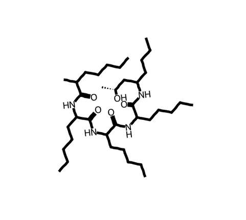 CCCCCC(C)C(=O)NC(CCCCC)C(=O)NC(CCCCC)C(=O)NC(CCCCC)C(=O)NC(CCCC)C[C@@H](C)O